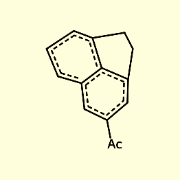 CC(=O)c1cc2c3c(cccc3c1)CC2